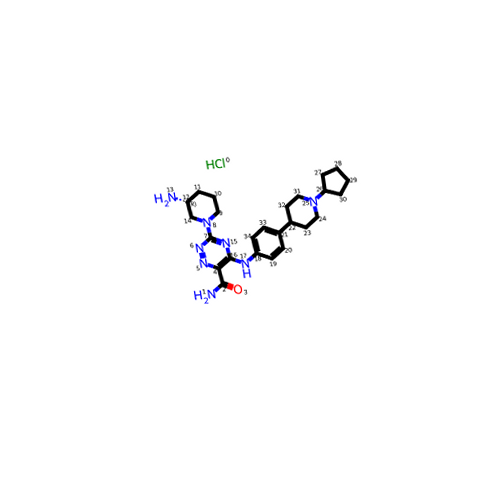 Cl.NC(=O)c1nnc(N2CCC[C@@H](N)C2)nc1Nc1ccc(C2CCN(C3CCCC3)CC2)cc1